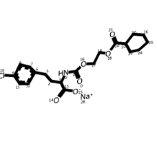 O=C(NC(CCc1ccc(Cl)cc1)C(=O)[O-])OCCOC(=O)C1CCCCC1.[Na+]